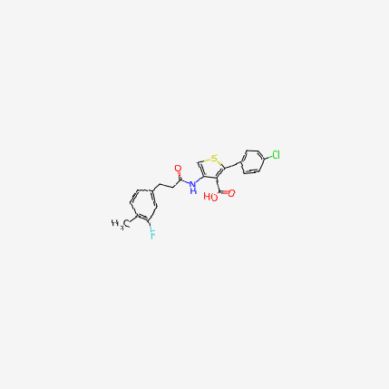 Cc1ccc(CCC(=O)Nc2csc(-c3ccc(Cl)cc3)c2C(=O)O)cc1F